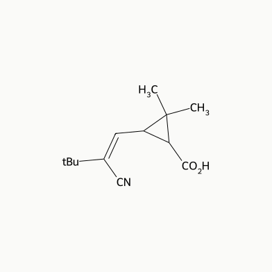 CC(C)(C)/C(C#N)=C/C1C(C(=O)O)C1(C)C